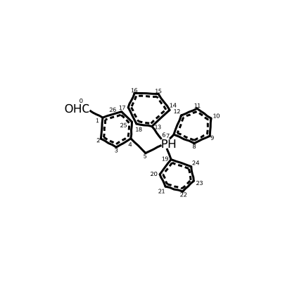 O=Cc1ccc(C[PH](c2ccccc2)(c2ccccc2)c2ccccc2)cc1